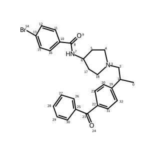 CC(CN1CCC(NC(=O)c2ccc(Br)cc2)CC1)c1ccc(C(=O)c2ccccc2)cc1